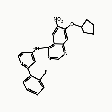 O=[N+]([O-])c1cc2c(Nc3ccnc(-c4ccccc4F)c3)ncnc2cc1OC1CCCC1